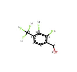 Fc1c(CBr)ccc(C(F)(F)F)c1F